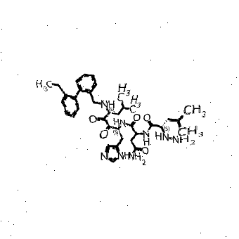 CCc1ccccc1-c1ccccc1CN[C@@H](CC(C)C)C(=O)C(=O)[C@H](Cc1cnc[nH]1)NC(=O)C(CC(N)=O)NC(=O)[C@H](CC(C)C)NN